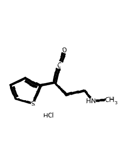 CNCCC(=C=O)c1cccs1.Cl